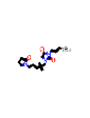 CC(C)(C)CCCN1C(=O)CN(CC(C)(C)CCCN2CCCC2=O)C1=O